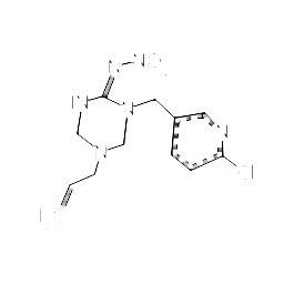 C=CCN1CN/C(=N/[N+](=O)[O-])N(Cc2ccc(Cl)nc2)C1